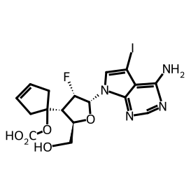 Nc1ncnc2c1c(I)cn2[C@@H]1O[C@@H](CO)[C@H](C2(OC(=O)O)CC=CC2)[C@@H]1F